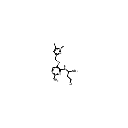 CCCCC(CCO)Nc1nc(N)ncc1OCc1cc(C)n(C)n1